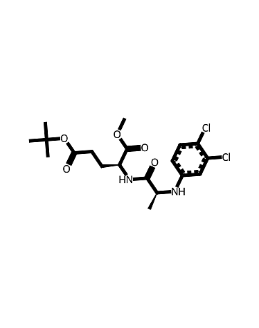 COC(=O)[C@H](CCC(=O)OC(C)(C)C)NC(=O)[C@H](C)Nc1ccc(Cl)c(Cl)c1